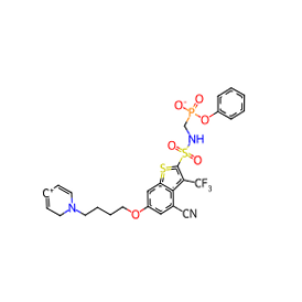 N#Cc1cc(OCCCCN2C=C[C+]=CC2)cc2sc(S(=O)(=O)NCP(=O)([O-])Oc3ccccc3)c(C(F)(F)F)c12